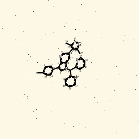 Cc1ccc(-c2cn(C(c3ccccn3)c3ccccn3)c3cc(-c4c(C)noc4C)cnc23)cc1